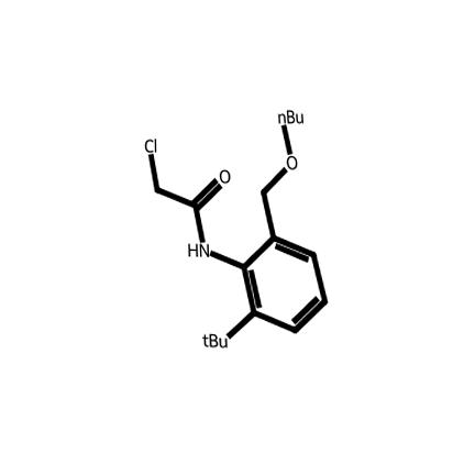 CCCCOCc1cccc(C(C)(C)C)c1NC(=O)CCl